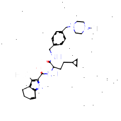 Cc1c(C(=O)NC(CCC2CC2)C(=O)NCc2ccc(CN3CCN(C)CC3)cc2)[nH]c2c1CCC=C2